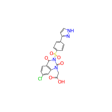 O=C(O)Cn1c(=O)n(S(=O)(=O)c2ccc(-c3cc[nH]n3)cc2)c(=O)c2ccc(Cl)cc21